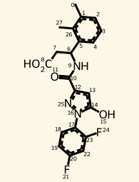 Cc1cccc(C(CC(=O)O)NC(=O)c2cc(O)n(-c3ccc(F)cc3F)n2)c1C